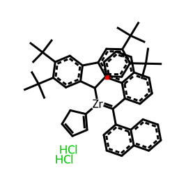 CC(C)(C)c1cc2c(cc1C(C)(C)C)[CH]([Zr]([C]1=CC=CC1)=[C](c1cccc3ccccc13)c1cccc3ccccc13)c1cc(C(C)(C)C)c(C(C)(C)C)cc1-2.Cl.Cl